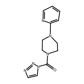 O=C(N1CCN(c2ccccn2)CC1)n1ccnn1